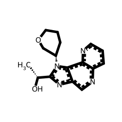 C[C@@H](O)c1nc2cnc3cccnc3c2n1[C@H]1CCCOC1